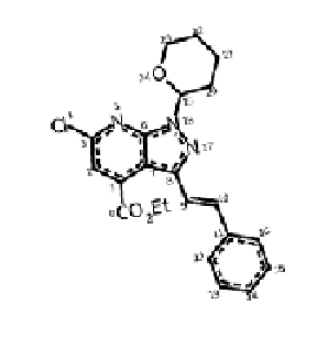 CCOC(=O)c1cc(Cl)nc2c1c(C=Cc1ccccc1)nn2C1CCCCO1